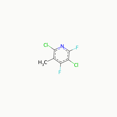 Cc1c(Cl)nc(F)c(Cl)c1F